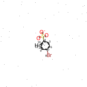 O=S(=O)([O-])c1ccc(Br)cc1.[Hg+]